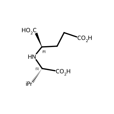 CC(C)[C@H](N[C@H](CCC(=O)O)C(=O)O)C(=O)O